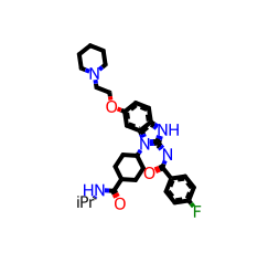 CC(C)NC(=O)C1CCC(n2/c(=N\C(=O)c3ccc(F)cc3)[nH]c3ccc(OCCN4CCCCC4)cc32)CC1